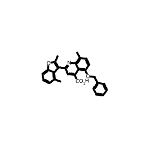 Cc1oc2cccc(C)c2c1-c1cc(C(=O)O)c2c(OCc3ccccc3)ccc(C)c2n1